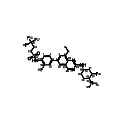 CCc1cc(-c2ccc(NS(=O)(=O)CCC(F)(F)F)c(F)c2)cc2cnc(N[C@H]3CC[C@H](N(C)C)C(F)C3)nc12